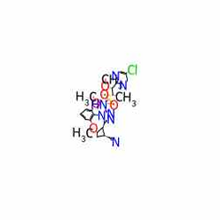 COc1cccc(OC)c1-n1c(NS(=O)(=O)[C@@H](C)[C@H](OC)c2ncc(Cl)cn2)nnc1[C@@H]1CC[C@@H]1C#N